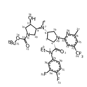 CCN(C(=O)[C@@H]1C[C@H](N(C)[C@H]2CN(C(=O)OC(C)(C)C)C[C@H]2O)CN1c1cc(C(F)(F)F)cc(C)n1)c1ccc(F)c(F)c1